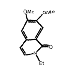 CCn1ccc2cc(OC)c(OC)cc2c1=O